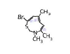 C/C1=C/C=C(C)/C=C(/Br)SCN1C